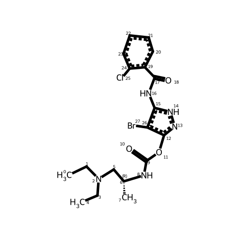 CCN(CC)C[C@@H](C)NC(=O)Oc1n[nH]c(NC(=O)c2ccccc2Cl)c1Br